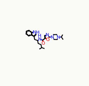 CC(C)CCC(Cc1c[nH]c2ccccc12)NC(=O)c1cnc(N2CCN(C(C)C)CC2)o1